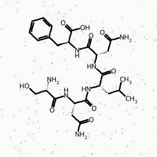 CC(C)C[C@H](NC(=O)[C@H](CC(N)=O)NC(=O)[C@@H](N)CO)C(=O)N[C@@H](CC(N)=O)C(=O)N[C@@H](Cc1ccccc1)C(=O)O